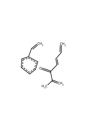 C=CC=CC(=O)C(=C)C.C=Cc1ccccc1